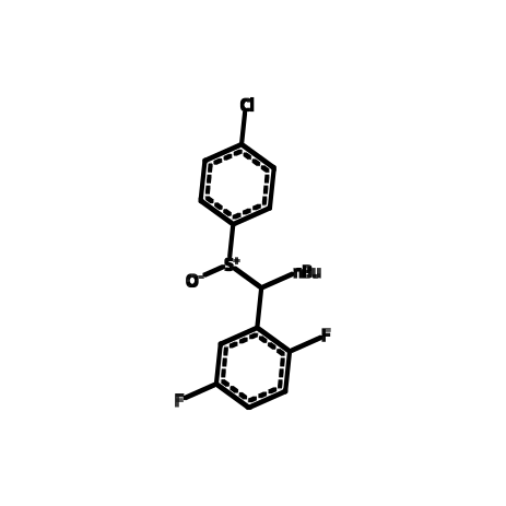 CCCCC(c1cc(F)ccc1F)[S+]([O-])c1ccc(Cl)cc1